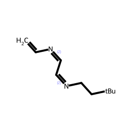 C=C/N=C\C=N/CCC(C)(C)C